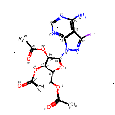 CC(=O)OC[C@@H]1O[C@@H](n2nc(I)c3c(N)ncnc32)[C@H](OC(C)=O)[C@@H]1OC(C)=O